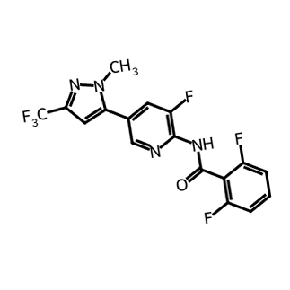 Cn1nc(C(F)(F)F)cc1-c1cnc(NC(=O)c2c(F)cccc2F)c(F)c1